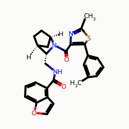 Cc1cccc(-c2sc(C)nc2C(=O)N2[C@@H]3CC[C@@H](C3)[C@H]2CNC(=O)c2cccc3occc23)c1